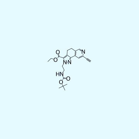 C#Cc1cc2c(cn1)CCc1c-2nn(CCNC(=O)OC(C)(C)C)c1C(=O)OCC